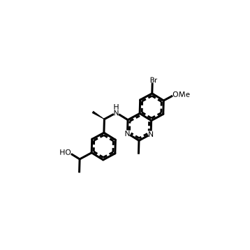 COc1cc2nc(C)nc(N[C@H](C)c3cccc(C(C)O)c3)c2cc1Br